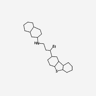 CCC(CCNC1CCC2CCCCC2C1)C1CCC2SC3CCCCC3C2C1